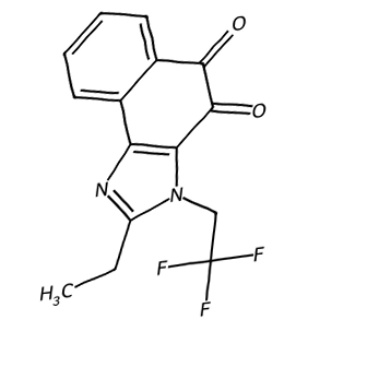 CCc1nc2c(n1CC(F)(F)F)C(=O)C(=O)c1ccccc1-2